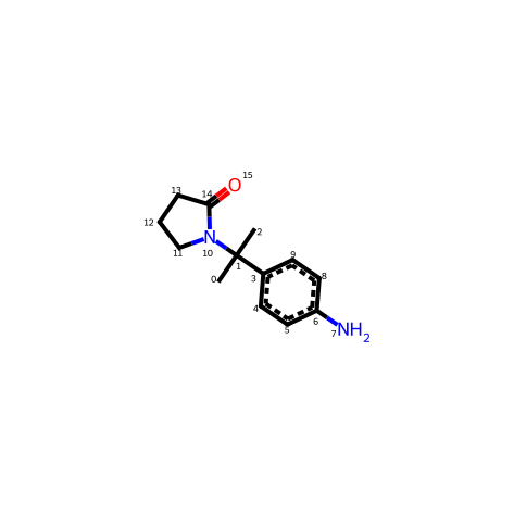 CC(C)(c1ccc(N)cc1)N1CCCC1=O